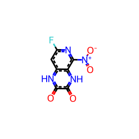 O=c1[nH]c2cc(F)nc([N+](=O)[O-])c2[nH]c1=O